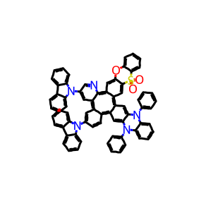 O=S1(=O)c2ccccc2Oc2cc3c(cc21)c1cc2c(cc1c1ccc(-n4c5ccccc5c5ccccc54)cc1c1cc(-n4c5ccccc5c5ccccc54)cnc13)n(-c1ccccc1)c1ccccc1n2-c1ccccc1